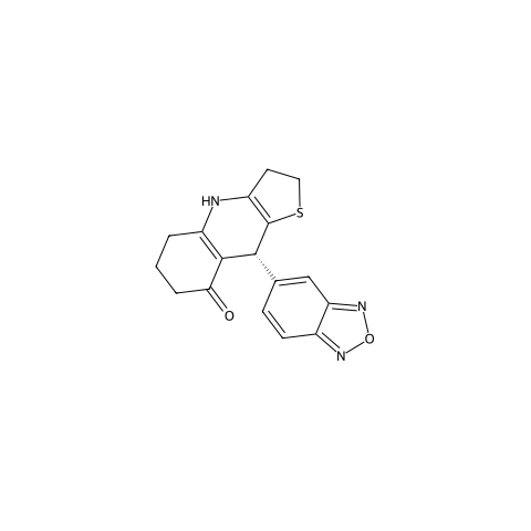 O=C1CCCC2=C1[C@@H](c1ccc3nonc3c1)C1=C(CCS1)N2